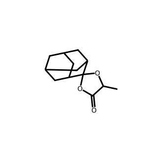 CC1OC2(OC1=O)C1CC3CC(C1)CC2C3